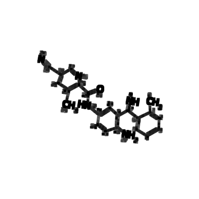 Cc1ccccc1C(=N)c1cc(NC(=O)c2ncc(C#N)cc2C)ccc1N